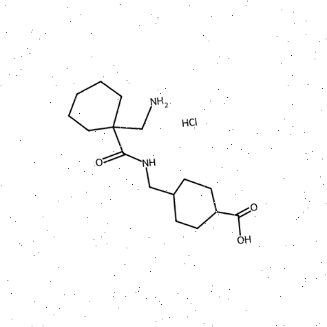 Cl.NCC1(C(=O)NCC2CCC(C(=O)O)CC2)CCCCC1